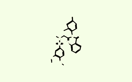 COc1ccc(S(=O)(=O)N(C)Cc2nc3ccccc3c(=O)n2-c2ccc(C)cc2C)cc1OC